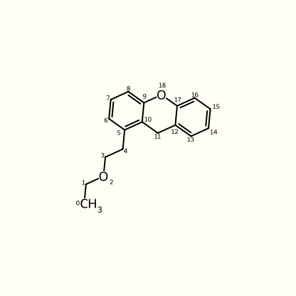 CCOCCc1cccc2c1Cc1ccccc1O2